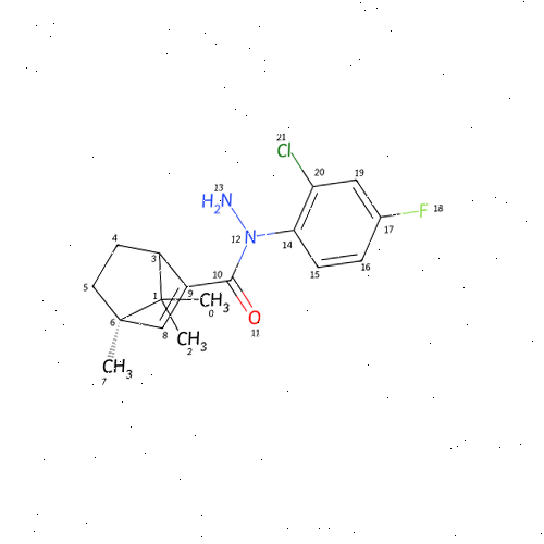 CC1(C)C2CC[C@]1(C)C=C2C(=O)N(N)c1ccc(F)cc1Cl